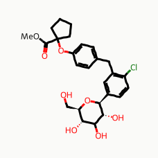 COC(=O)C1(Oc2ccc(Cc3cc([C@@H]4O[C@H](CO)[C@@H](O)C(O)[C@H]4O)ccc3Cl)cc2)CCCC1